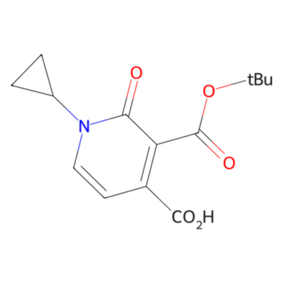 CC(C)(C)OC(=O)c1c(C(=O)O)ccn(C2CC2)c1=O